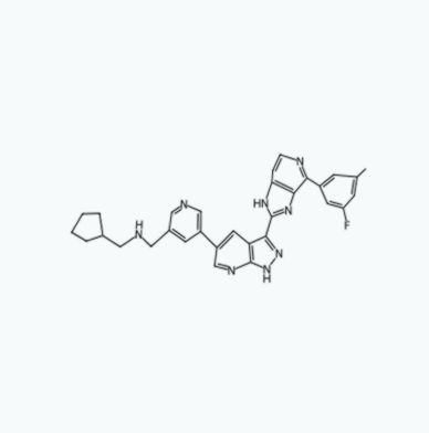 Cc1cc(F)cc(-c2nccc3[nH]c(-c4n[nH]c5ncc(-c6cncc(CNCC7CCCC7)c6)cc45)nc23)c1